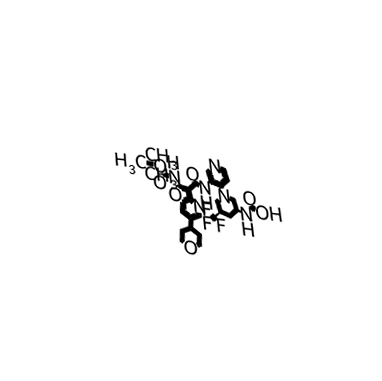 CC(C)(C)OC(=O)Nc1oc2cc(C3CCOCC3)cnc2c1C(=O)Nc1cnccc1N1C[C@@H](NC(=O)O)C[C@@H](C(F)(F)F)C1